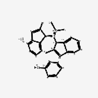 CC1=Cc2ccccc2[CH]1[Zr]([CH]1C(C)=Cc2ccccc21)=[Si](C)C.Cl.Oc1ccccc1